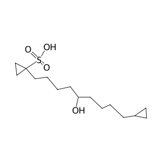 O=S(=O)(O)C1(CCCCC(O)CCCCC2CC2)CC1